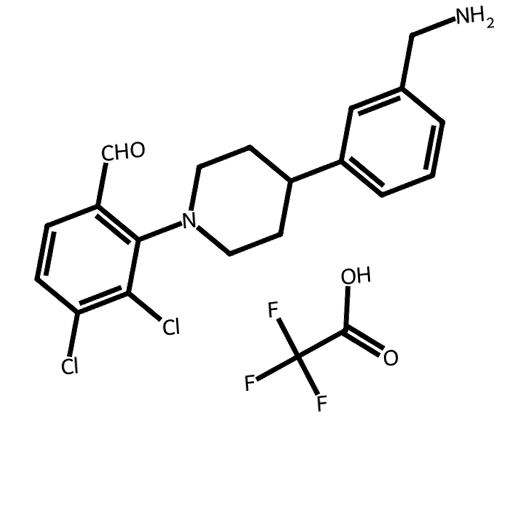 NCc1cccc(C2CCN(c3c(C=O)ccc(Cl)c3Cl)CC2)c1.O=C(O)C(F)(F)F